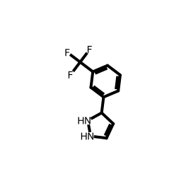 FC(F)(F)c1cccc(C2C=CNN2)c1